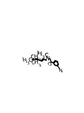 CN(C/C=C/C#CC(C)(C)C)CC(=O)c1cccc(C#N)c1